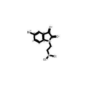 CCN(CC)CCN1C(=O)C(=O)c2cc(Br)ccc21